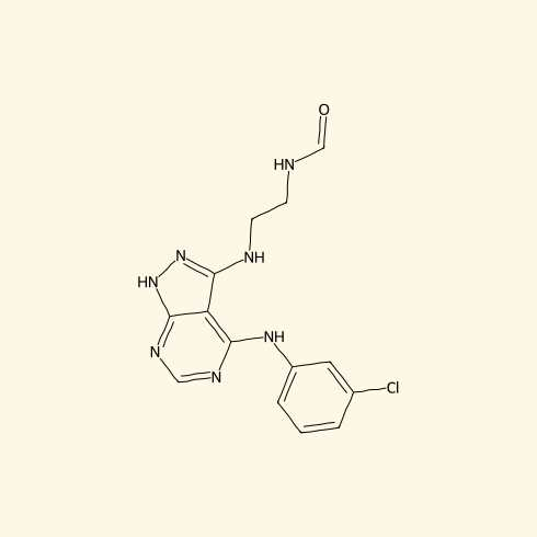 O=CNCCNc1n[nH]c2ncnc(Nc3cccc(Cl)c3)c12